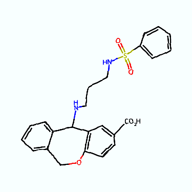 O=C(O)c1ccc2c(c1)C(NCCCNS(=O)(=O)c1ccccc1)c1ccccc1CO2